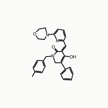 Cc1ccc(CN2CC(c3ccccc3)=C(O)C(=Cc3cccc(N4CCOCC4)n3)C2=O)cc1